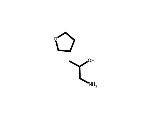 C1CCOC1.CC(O)CN